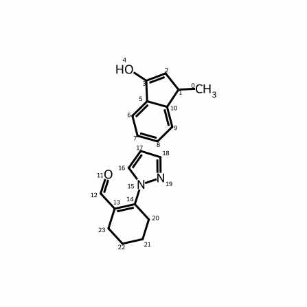 CC1C=C(O)c2ccccc21.O=CC1=C(n2cccn2)CCCC1